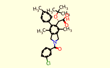 Cc1ccc(-c2c(C)c3c(c(C)c2[C@H](OC(C)(C)C)C(=O)O)CN(C(=O)c2cccc(Cl)c2)C3)cc1